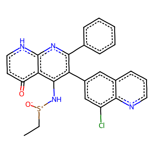 CC[S+]([O-])Nc1c(-c2cc(Cl)c3ncccc3c2)c(-c2ccccc2)nc2[nH]ccc(=O)c12